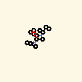 C1=C(c2cccc(N(c3ccccc3-c3cc(-c4ccccc4)cc(-n4c5ccccc5c5cc6ccccc6cc54)c3)c3ccc(-c4cccc5ccccc45)c4ccccc34)c2)c2ccccc2CC1